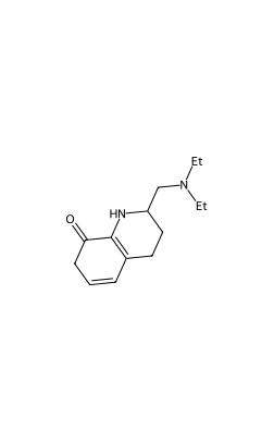 CCN(CC)CC1CCC2=C(N1)C(=O)CC=C2